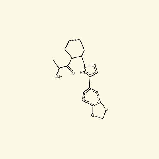 CSC(C)C(=O)N1CCCCC1c1ncc(-c2ccc3c(c2)OCO3)[nH]1